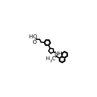 C[C@@H](NC1CCC(c2cccc(CCC(=O)O)c2)C1)c1cccc2ccccc12